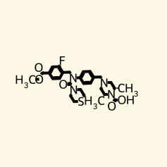 COC(=O)c1ccc(CN(C(=O)N2CCSCC2)c2ccc(CN3C[C@@H](C)N(C(=O)O)[C@@H](C)C3)cc2)c(F)c1